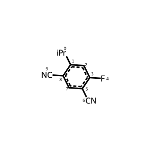 CC(C)c1cc(F)c(C#N)cc1C#N